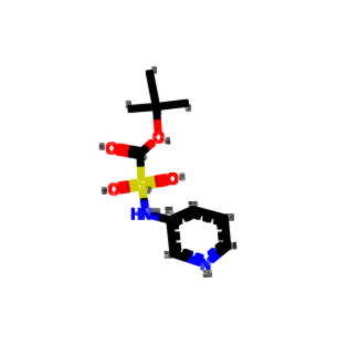 CC(C)(C)OC(=O)S(=O)(=O)Nc1cccnc1